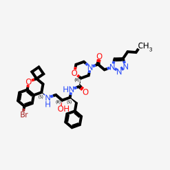 CCCc1cn(CC(=O)N2CCO[C@@H](C(=O)N[C@@H](Cc3ccccc3)[C@H](O)CN[C@H]3CC4(CCC4)Oc4ccc(Br)cc43)C2)nn1